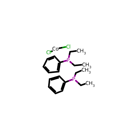 CCP(CC)c1ccccc1.CCP(CC)c1ccccc1.[Cl][Co][Cl]